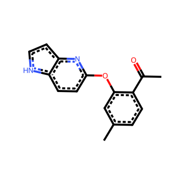 CC(=O)c1ccc(C)cc1Oc1ccc2[nH]ccc2n1